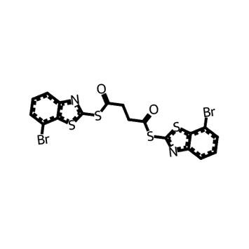 O=C(CCC(=O)Sc1nc2cccc(Br)c2s1)Sc1nc2cccc(Br)c2s1